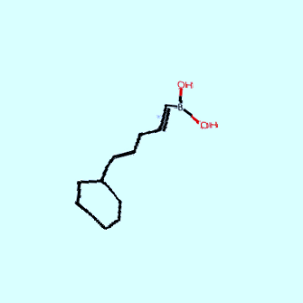 OB(O)/C=C/CCCC1CCCCC1